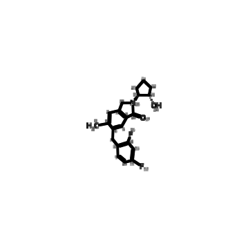 Cc1cc2c(cc1Cc1ccc(F)cc1F)C(=O)N([C@H]1CCC[C@@H]1O)C2